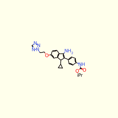 CC(C)OC(=O)Nc1ccc(C2=C(N)c3ccc(OCCn4ncnn4)cc3C2C2CC2)cc1